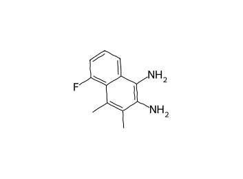 Cc1c(N)c(N)c2cccc(F)c2c1C